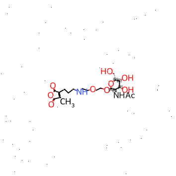 CC(=O)N[C@H]1[C@H](OCCOCCNCCCC2=C(C)C(=O)OC2=O)O[C@H](CO)[C@H](O)[C@@H]1O